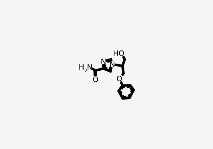 NC(=O)c1cn(C(CO)COc2ccccc2)cn1